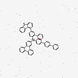 c1ccc(-c2ccc(-c3ccc(N(c4ccc5c6ccccc6c6ccccc6c5c4)c4ccc(-c5cccc6sc7ccccc7c56)cc4-c4ccccc4)cc3)cc2)cc1